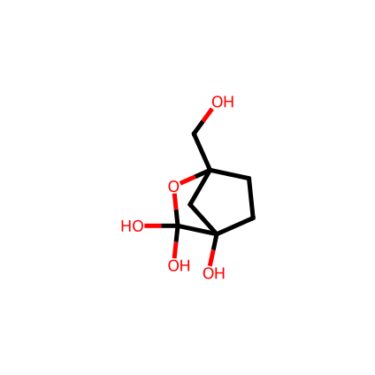 OCC12CCC(O)(C1)C(O)(O)O2